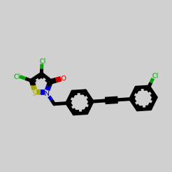 O=c1c(Cl)c(Cl)sn1Cc1ccc(C#Cc2cccc(Cl)c2)cc1